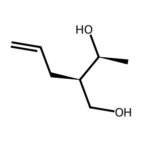 C=CC[C@H](CO)[C@H](C)O